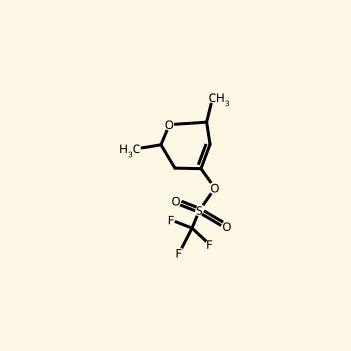 CC1C=C(OS(=O)(=O)C(F)(F)F)CC(C)O1